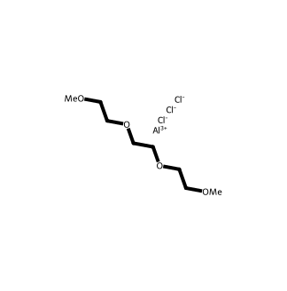 COCCOCCOCCOC.[Al+3].[Cl-].[Cl-].[Cl-]